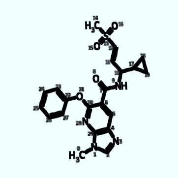 Cn1cnc2cc(C(=O)NC(C=CS(C)(=O)=O)C3CC3)c(Oc3ccccc3)nc21